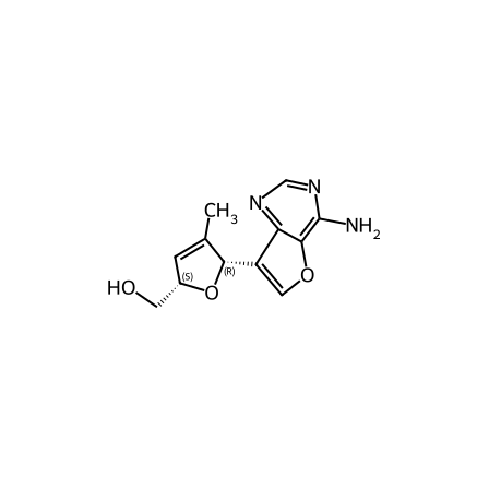 CC1=C[C@@H](CO)O[C@H]1c1coc2c(N)ncnc12